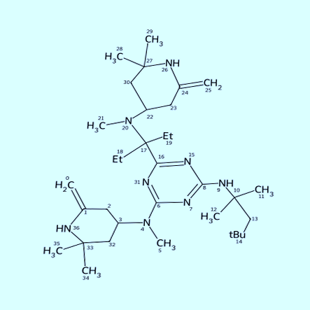 C=C1CC(N(C)c2nc(NC(C)(C)CC(C)(C)C)nc(C(CC)(CC)N(C)C3CC(=C)NC(C)(C)C3)n2)CC(C)(C)N1